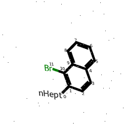 CCCCCCCc1ccc2ccccc2c1Br